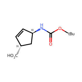 CC(C)(C)OC(=O)N[C@@H]1C=C[C@@H](C(=O)O)C1